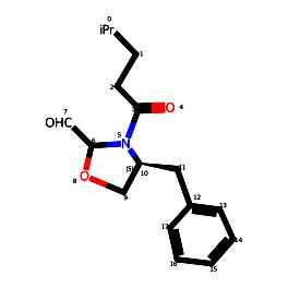 CC(C)CCC(=O)N1C(C=O)OC[C@@H]1Cc1ccccc1